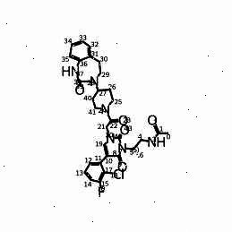 CC(=O)NC[C@H](C)n1c(=O)c(-c2cccc(F)c2Cl)cn(CC(=O)N2CCC(N3CCc4ccccc4NC3=O)CC2)c1=O